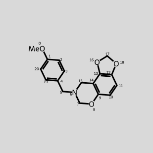 COc1ccc(CN2COc3ccc4c(c3C2)OCO4)cc1